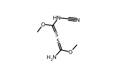 COC(=S)NC#N.COC(N)=S